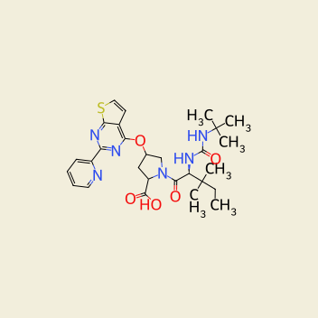 CCC(C)(C)[C@H](NC(=O)NC(C)(C)C)C(=O)N1CC(Oc2nc(-c3ccccn3)nc3sccc23)CC1C(=O)O